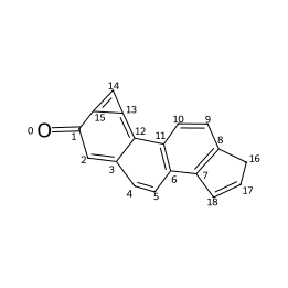 O=c1cc2ccc3c4c(ccc3c2c2cc1-2)CC=C4